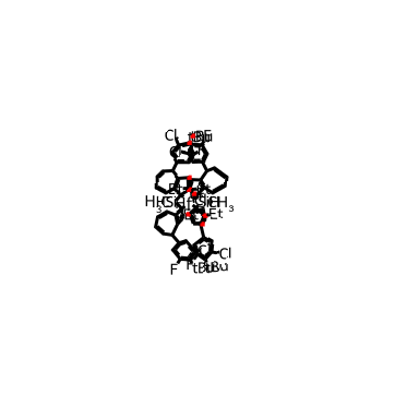 CCC1=CC2=C(C=CC=CC2c2cc(F)c(C(C)(C)C)c(Cl)c2)[C]12[SiH](C)[C]1(C(CC)=CC3=C1C=CC=CC3c1cc(F)c(C(C)(C)C)c(Cl)c1)[Hf]21([Cl])([Cl])[C]2(C(CC)=CC3=C2C=CC=CC3c2cc(F)c(C(C)(C)C)c(Cl)c2)[SiH](C)[C]12C(CC)=CC1=C2C=CC=CC1c1cc(F)c(C(C)(C)C)c(Cl)c1